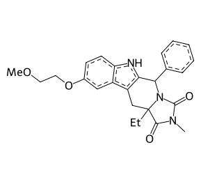 CCC12Cc3c([nH]c4ccc(OCCOC)cc34)C(c3ccccc3)N1C(=O)N(C)C2=O